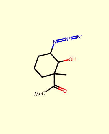 COC(=O)C1(C)CCCC(N=[N+]=[N-])C1O